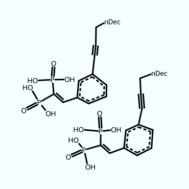 CCCCCCCCCCCC#Cc1cccc(C=C(P(=O)(O)O)P(=O)(O)O)c1.CCCCCCCCCCCC#Cc1cccc(C=C(P(=O)(O)O)P(=O)(O)O)c1